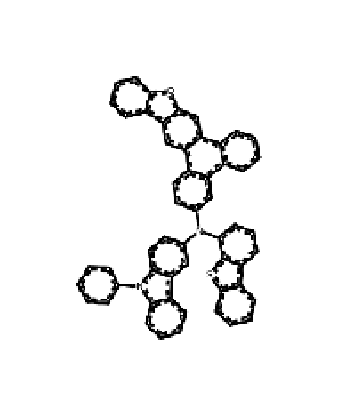 c1ccc(-n2c3ccccc3c3cc(N(c4ccc5c(c4)c4ccccc4c4cc6oc7ccccc7c6cc54)c4cccc5c4sc4ccccc45)ccc32)cc1